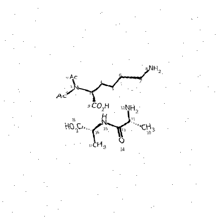 CC(=O)N(C(C)=O)[C@@H](CCCCN)C(=O)O.C[C@@H](N)C(=O)N[C@H](C)C(=O)O